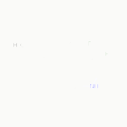 CCc1ccc2c(c1)CNCC2(F)F